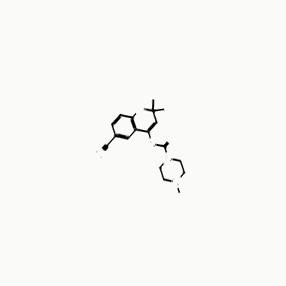 CN1CCN(C(=O)NC2=CC(C)(C)Oc3ccc(C#N)cc32)CC1